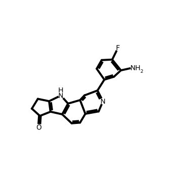 Nc1cc(-c2cc3c(ccc4c5c([nH]c43)CCC5=O)cn2)ccc1F